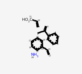 C=C(C)c1ccccc1.C=CC(=O)O.C=Cc1ccccc1.N